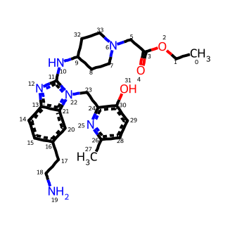 CCOC(=O)CN1CCC(Nc2nc3ccc(CCN)cc3n2Cc2nc(C)ccc2O)CC1